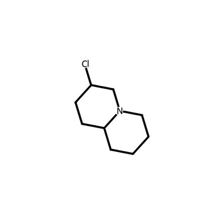 ClC1CCC2CCCCN2C1